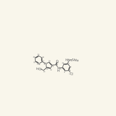 CSNc1cc(Cl)cc(NC(=O)c2cc(CO)n(-c3ccccn3)c2)c1